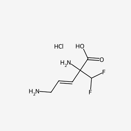 Cl.NC/C=C/C(N)(C(=O)O)C(F)F